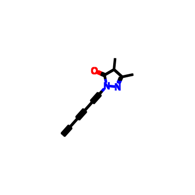 C#CC#CC#CN1N=C(C)C(C)C1=O